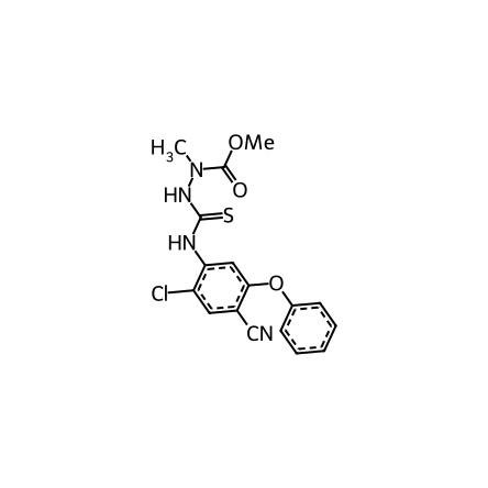 COC(=O)N(C)NC(=S)Nc1cc(Oc2ccccc2)c(C#N)cc1Cl